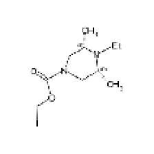 CCN1[C@H](C)CN(C(=O)OCI)C[C@@H]1C